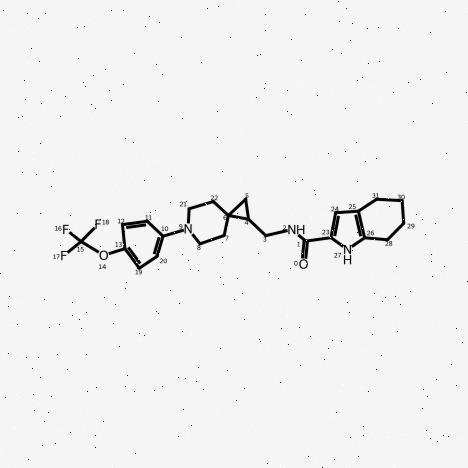 O=C(NCC1CC12CCN(c1ccc(OC(F)(F)F)cc1)CC2)c1cc2c([nH]1)CCCC2